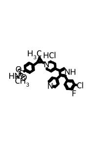 CNS(=O)(=O)c1ccc(C2C(C)C2N2CC=C(c3c[nH]c(-c4ccc(F)c(Cl)c4)c3-c3ccncc3)CC2)cc1.Cl